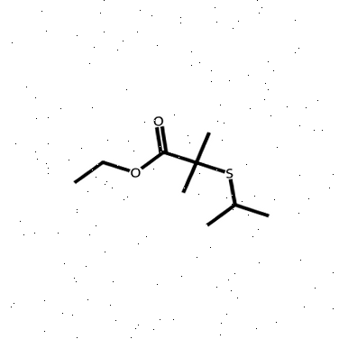 CCOC(=O)C(C)(C)SC(C)C